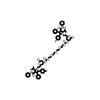 CC(C)c1c(C(=O)NC2=CCCC=C2)c(-c2ccccc2)c(-c2ccc(F)cc2)n1CCC1CC(OC(=O)OCCOCCOCCOCCOC(=O)OC2CC(=O)OC(CCn3c(-c4ccc(F)cc4)c(-c4ccccc4)c(C(=O)Nc4ccccc4)c3C(C)C)C2)CC(=O)O1